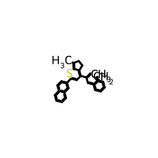 C=c1cccc/c1=C/C(=C\C)C1=C2CCC(C)=C2SC(c2ccc3ccccc3c2)=C1